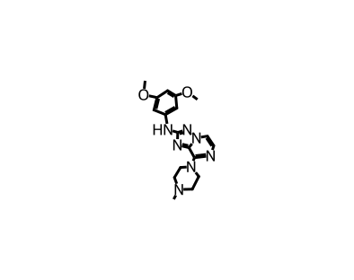 COc1cc(Nc2nc3c(N4CCN(C)CC4)nccn3n2)cc(OC)c1